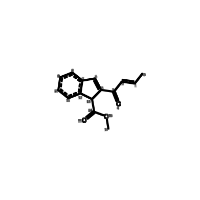 C/C=C/C(=O)C1=Cc2ccccc2C1C(=O)OC